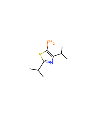 CC(C)c1nc(C(C)C)c(P)s1